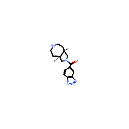 O=C(c1ccc2[nH]nnc2c1)N1C[C@H]2CCNCC[C@H]2C1